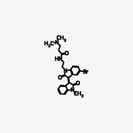 CN(C)CCC(=O)NCCN1C(=O)/C(=C2/C(=O)N(C)c3ccccc32)c2cc(Br)ccc21